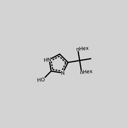 CCCCCCC(C)(CCCCCC)c1c[nH]c(O)n1